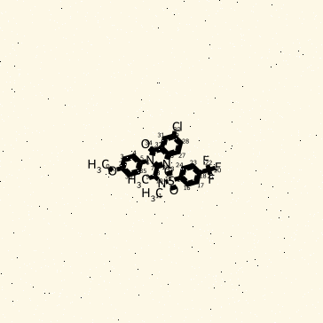 COc1ccc(-n2c(C(C)N(C)S(=O)(=O)c3ccc(C(F)(F)F)cc3)nc3ccc(Cl)cc3c2=O)cc1